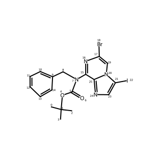 CC(C)(C)OC(=O)N(Cc1ccccc1)c1nc(Br)cn2c(I)cnc12